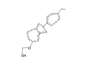 CCc1ccc(-c2cc3ccc(OCO)cc3s2)cc1